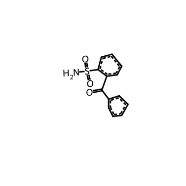 NS(=O)(=O)c1ccccc1C(=O)c1ccccc1